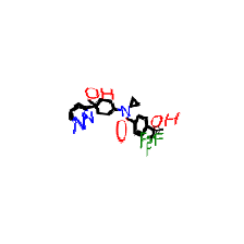 C[C@](O)(c1ccc(C(=O)N(C2CC2)C2CCC(CO)(c3cccnn3)CC2)cc1)C(F)(F)F